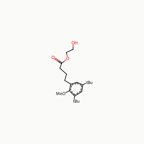 COc1c(CCCC(=O)OCCO)cc(C(C)(C)C)cc1C(C)(C)C